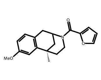 COc1ccc2c(c1)[C@]1(C)CCN(C(=O)c3ccco3)C(C2)C1